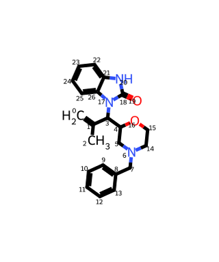 C=C(C)C(C1CN(Cc2ccccc2)CCO1)n1c(=O)[nH]c2ccccc21